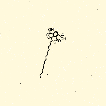 CCCCCCCCCCCCCCCCCC(=O)c1c(C(=O)O)ccc(C(=O)O)c1I(=O)=O